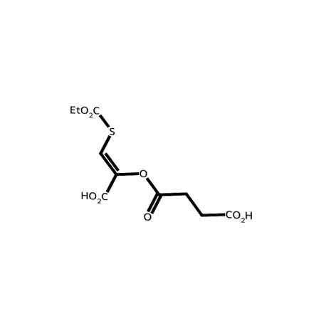 CCOC(=O)SC=C(OC(=O)CCC(=O)O)C(=O)O